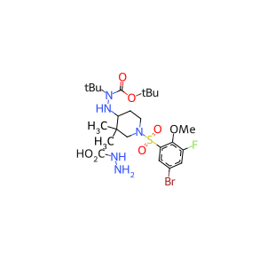 COc1c(F)cc(Br)cc1S(=O)(=O)N1CCC(NN(C(=O)OC(C)(C)C)C(C)(C)C)C(C)(C)C1.NNC(=O)O